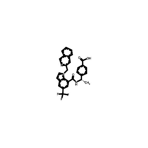 C[C@H](NC(=O)c1cc(C(F)(F)F)cc2ccn(Cc3cc4ccccc4cn3)c12)c1ccc(C(=O)O)cc1